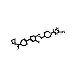 CC(C)c1noc(N2CCC(COc3ccc(C4=CCC(C(=O)N5CCC5)CC4)cc3F)CC2)n1